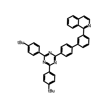 CC(C)(C)c1ccc(-c2nc(-c3ccc(-c4cccc(-c5nccc6ccccc56)c4)cc3)nc(-c3ccc(C(C)(C)C)cc3)n2)cc1